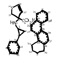 O=C(O)C1(NC2CC2c2ccccc2)C=CSC1.c1ccc2c(c1)ccc1c3c(ccc12)CCCC3